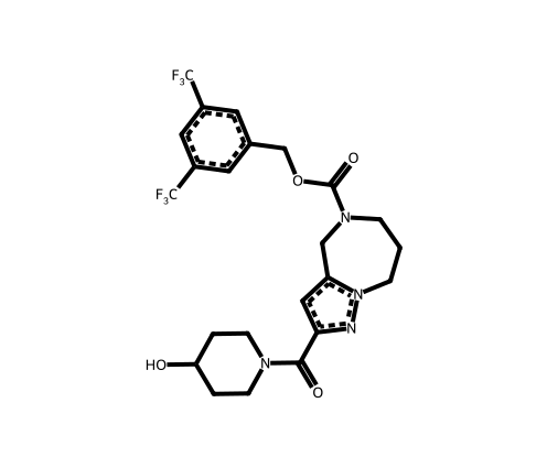 O=C(OCc1cc(C(F)(F)F)cc(C(F)(F)F)c1)N1CCCn2nc(C(=O)N3CCC(O)CC3)cc2C1